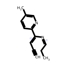 C#C/C=C(\N=C/CC)c1ccc(C)cn1